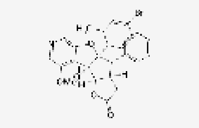 COc1cncc2c1[C@]1(O)[C@@H]3OC(=O)C[C@@H]3[C@@H](c3ccccc3)[C@]1(C1C=CC(Br)=CC1C)O2